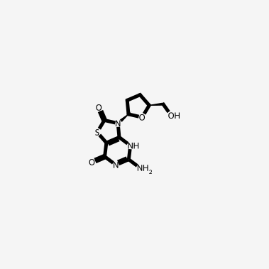 Nc1nc(=O)c2sc(=O)n([C@H]3CC[C@@H](CO)O3)c2[nH]1